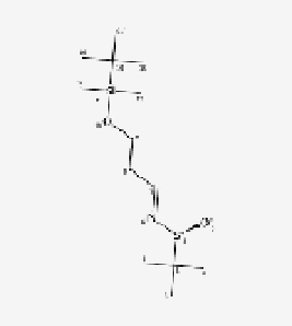 CC(C)(C)[S@+]([O-])/N=C/CCO[Si](C)(C)C(C)(C)C